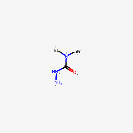 CCCN(CC)C(=O)NN